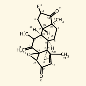 C=C1C(C)[C@@H]2[C@@H](CC[C@]3(C)C(=O)C(F)C[C@@H]23)[C@@]2(C)C(C)=CC(=O)C3OC132